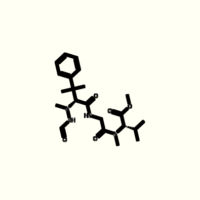 COC(=O)[C@H](C(C)C)N(C)C(=O)CNC(=O)[C@@H](N(C)BC=O)C(C)(C)c1ccccc1